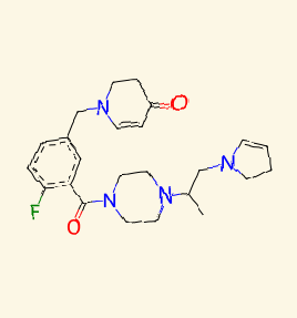 CC(CN1C=CCC1)N1CCN(C(=O)c2cc(CN3C=CC(=O)CC3)ccc2F)CC1